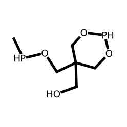 CPOCC1(CO)COPOC1